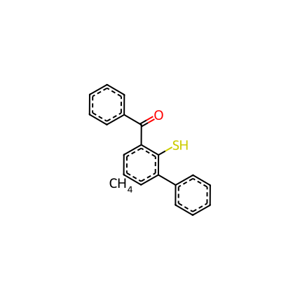 C.O=C(c1ccccc1)c1cccc(-c2ccccc2)c1S